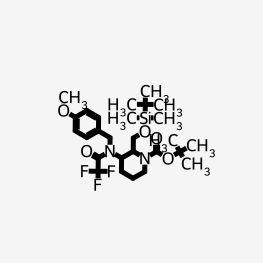 COc1ccc(CN(C(=O)C(F)(F)F)C2CCCN(C(=O)OC(C)(C)C)C2CO[Si](C)(C)C(C)(C)C)cc1